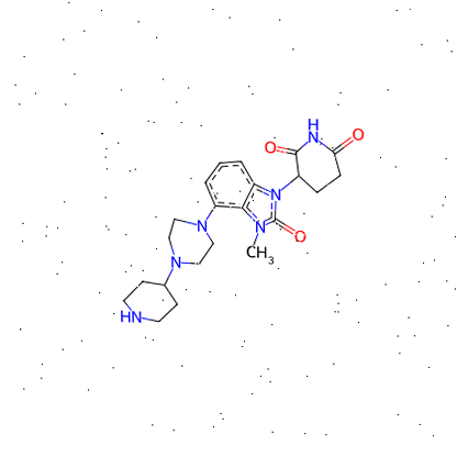 Cn1c(=O)n(C2CCC(=O)NC2=O)c2cccc(N3CCN(C4CCNCC4)CC3)c21